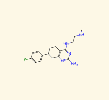 CNCCNc1nc(N)nc2c1CCC(c1ccc(F)cc1)C2